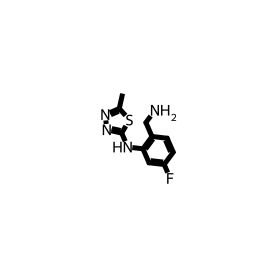 Cc1nnc(Nc2cc(F)ccc2CN)s1